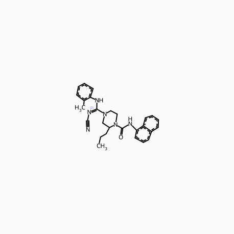 CCCC1CN(/C(=N\C#N)Nc2ccccc2C)CCN1C(=O)Nc1cccc2ccccc12